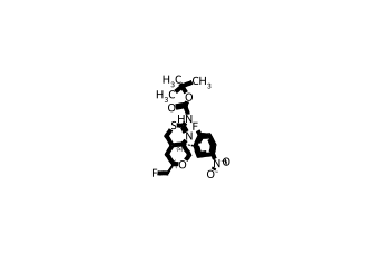 CC(C)(C)OC(=O)NC1=N[C@@]2(c3cc([N+](=O)[O-])ccc3F)CO[C@@H](CF)CC2CS1